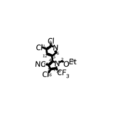 CCOCn1c(-c2cnc(Cl)c(Cl)c2)c(C#N)c(Cl)c1C(F)(F)F